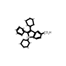 O=C(O)c1ccc2c(c1)c(C1CCCCC1)c(-c1ccccc1)n2C1CCCCC1